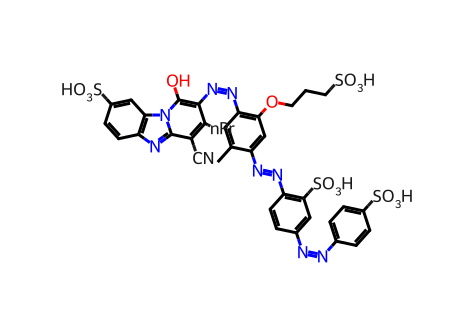 CCCc1c(/N=N\c2cc(C)c(N=Nc3ccc(/N=N\c4ccc(S(=O)(=O)O)cc4)cc3S(=O)(=O)O)cc2OCCCS(=O)(=O)O)c(O)n2c(nc3ccc(S(=O)(=O)O)cc32)c1C#N